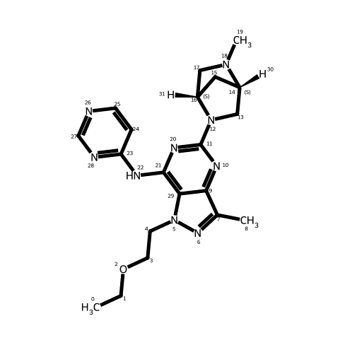 CCOCCn1nc(C)c2nc(N3C[C@@H]4C[C@H]3CN4C)nc(Nc3ccncn3)c21